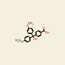 COc1ccc(C(O)(c2ccc(OC)cc2)c2ccc(C(=O)O)cc2)cc1